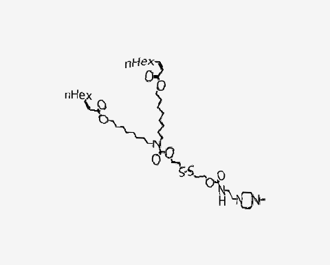 CCCCCC/C=C\C(=O)OCCCCCCCCN(CCCCCCCCOC(=O)/C=C\CCCCCC)C(=O)OCCSSCCOC(=O)NCCN1CCN(C)CC1